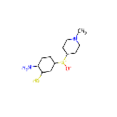 CN1CCC([S+]([O-])C2CCC(N)C(S)C2)CC1